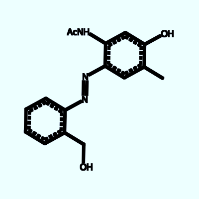 CC(=O)Nc1cc(O)c(C)cc1/N=N/c1ccccc1CO